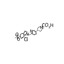 CS(=O)(=O)c1cc(Cl)c2c(ccn2Cc2ccc(C3CCN(C(=O)O)CC3)cn2)c1